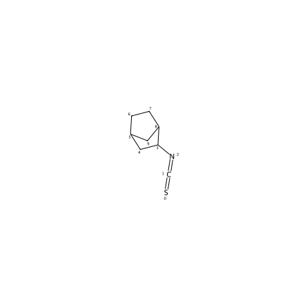 S=C=NC1CC2CCC1C2